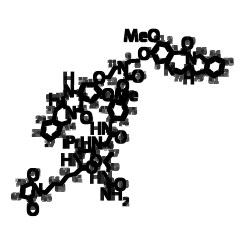 COc1cc2c(cc1OCCN(CCOc1cc3c(cc1OC)C(=O)N1Cc4ccccc4C[C@H]1CN3)C(=O)OCc1ccc(NC(=O)[C@H](CCCNC(N)=O)NC(=O)[C@@H](NC(=O)CCCCCN3C(=O)C=CC3=O)C(C)C)cc1)N=C[C@@H]1Cc3ccccc3CN1C2=O